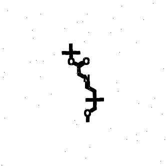 COCC(C)(C)C/C=N/CC(=O)OC(C)(C)C